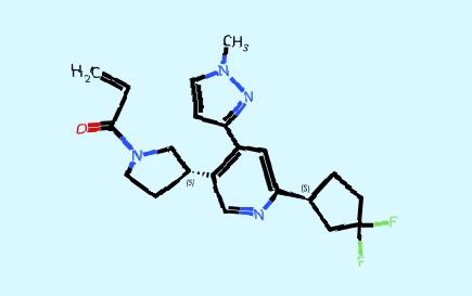 C=CC(=O)N1CC[C@@H](c2cnc([C@H]3CCC(F)(F)C3)cc2-c2ccn(C)n2)C1